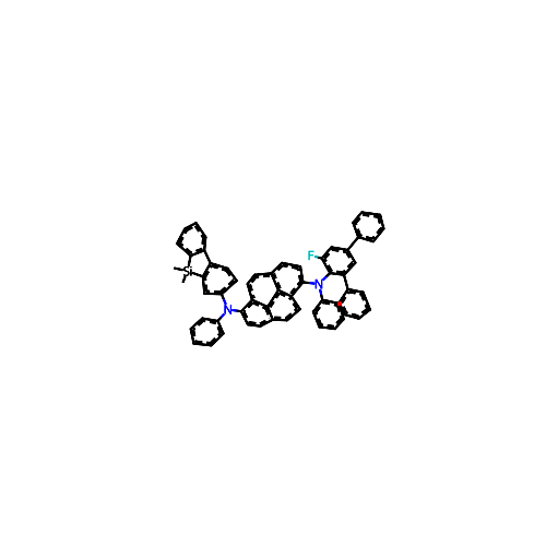 C[Si]1(C)c2ccccc2-c2ccc(N(c3ccccc3)c3ccc4ccc5c(N(c6ccccc6)c6c(F)cc(-c7ccccc7)cc6-c6ccccc6)ccc6ccc3c4c65)cc21